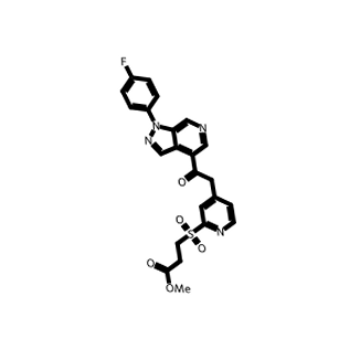 COC(=O)CCS(=O)(=O)c1cc(CC(=O)c2cncc3c2cnn3-c2ccc(F)cc2)ccn1